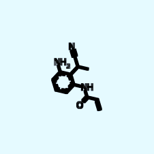 C=CC(=O)Nc1cccc(N)c1C(C)C#N